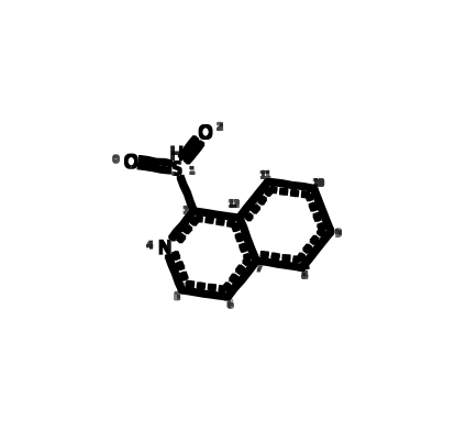 O=[SH](=O)c1nccc2[c]cccc12